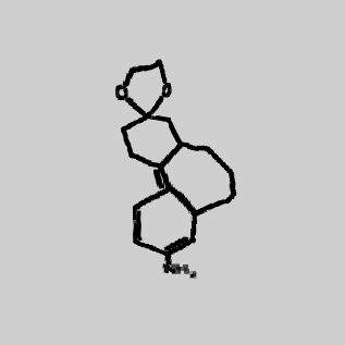 NC1=CC2CCCC3CC4(CCC3=C2C=C1)OCCO4